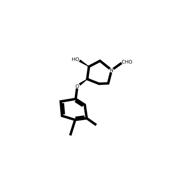 Cc1ccc(O[C@@H]2CCN(C=O)C[C@@H]2O)cc1C